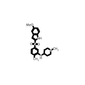 COc1ccc2[nH]c(S(=O)(=O)c3ccc(C)c(NC4CCN(C)CC4)c3)cc2c1